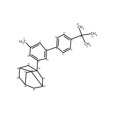 Cc1cc(-c2ccc(C(C)(C)C)cc2)cc(C23CC4CC(CC(C4)C2)C3)c1